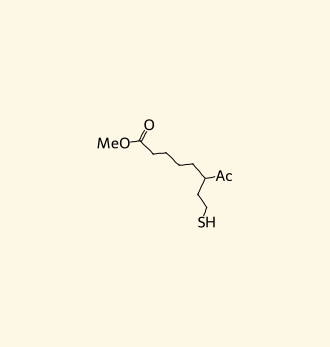 COC(=O)CCCCC(CCS)C(C)=O